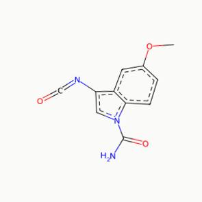 COc1ccc2c(c1)c(N=C=O)cn2C(N)=O